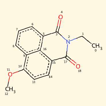 CCN1C(=O)c2cccc3c(OC)ccc(c23)C1=O